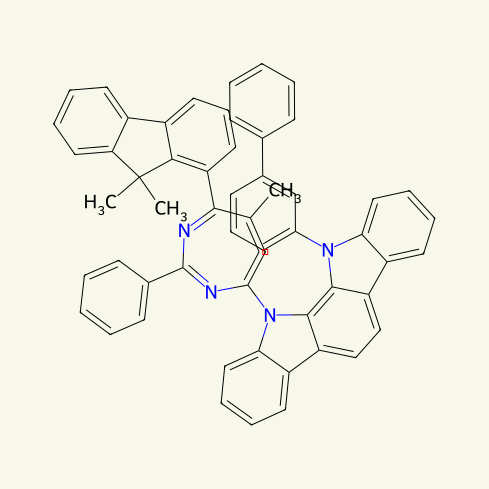 CC1=C=C(n2c3ccccc3c3ccc4c5ccccc5n(-c5cccc(-c6ccccc6)c5)c4c32)N=C(c2ccccc2)N=C1c1cccc2c1C(C)(C)c1ccccc1-2